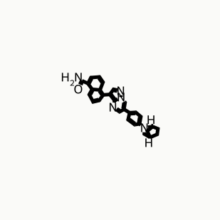 NC(=O)c1cccc2c(-c3cnn4cc(-c5ccc(N6C[C@H]7CC[C@@H]6C7)cc5)cnc34)cccc12